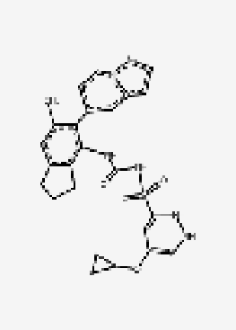 Cc1cc2c(c(NC(=O)NS(=O)(=O)C3=CC(OC4CC4)=CNN3)c1-c1ccn3nccc3c1)CCC2